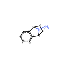 NN1C2CCC1c1ccccc12